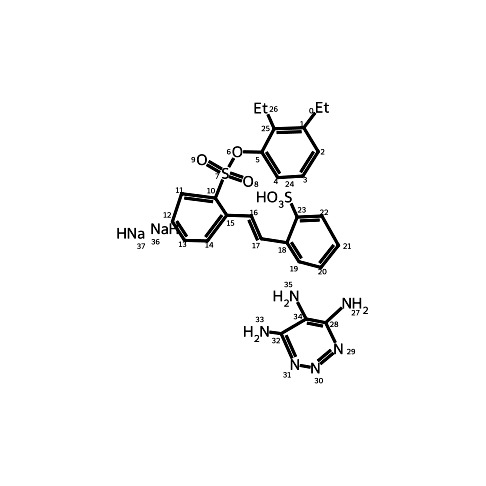 CCc1cccc(OS(=O)(=O)c2ccccc2/C=C/c2ccccc2S(=O)(=O)O)c1CC.Nc1nnnc(N)c1N.[NaH].[NaH]